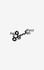 CCCC(C)CC(CCCCn1nnc2c1-c1ccccc1N(C(C)=O)Cc1ccccc1-2)C(C)C